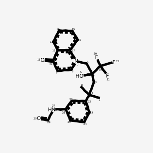 CC(C)(CC(O)(Cn1ccc(=O)c2ccccc21)C(F)(F)F)c1cccc(NC=O)c1